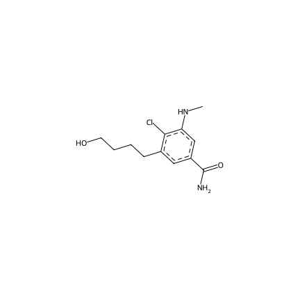 CNc1cc(C(N)=O)cc(CCCCO)c1Cl